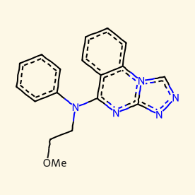 COCCN(c1ccccc1)c1nc2nncn2c2ccccc12